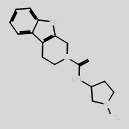 N#CN1CCC(NC(=O)N2CCc3c([nH]c4ccccc34)C2)C1